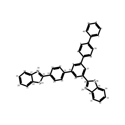 c1ccc(-c2ccc(-c3cc(-c4ccc(-c5nc6ccccc6s5)cc4)cc(-c4nc5ccccc5s4)c3)cc2)cc1